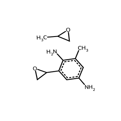 CC1CO1.Cc1cc(N)cc(C2CO2)c1N